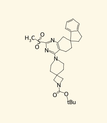 CC(C)(C)OC(=O)N1CC2(CCN(c3nc(S(C)(=O)=O)nc4c3CCC3(CCc5ccccc53)C4)CC2)C1